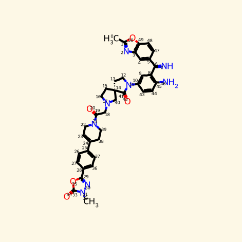 Cc1nc2cc(C(=N)c3cc(N4CC[C@]5(CCN(CC(=O)N6CC=C(c7ccc(-c8nn(C)c(=O)o8)cc7)CC6)C5)C4=O)ccc3N)ccc2o1